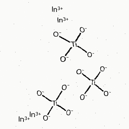 [In+3].[In+3].[In+3].[In+3].[O-][Ti]([O-])([O-])[O-].[O-][Ti]([O-])([O-])[O-].[O-][Ti]([O-])([O-])[O-]